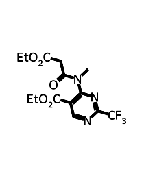 CCOC(=O)CC(=O)N(C)c1nc(C(F)(F)F)ncc1C(=O)OCC